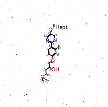 CCCCCCCOc1cnc(-c2ccc(OCC(O)CCOCCC)cc2F)nc1